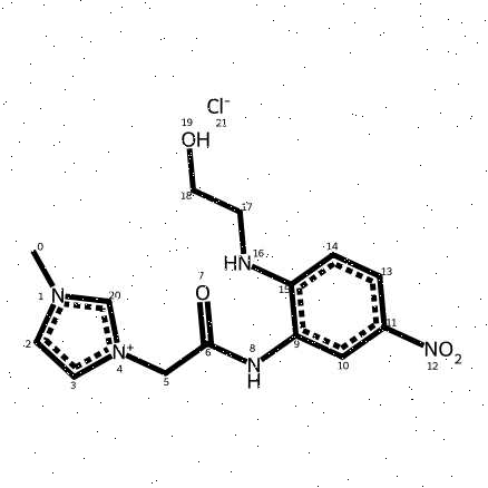 Cn1cc[n+](CC(=O)Nc2cc([N+](=O)[O-])ccc2NCCO)c1.[Cl-]